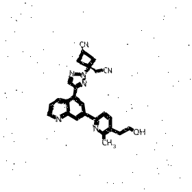 Cc1nc(-c2cc(-c3cnn([C@]4(CC#N)C[C@H](C#N)C4)n3)c3cccnc3c2)ccc1CCO